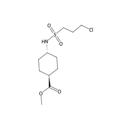 COC(=O)[C@H]1CC[C@H](NS(=O)(=O)CCCCl)CC1